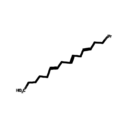 CC(C)CCC=CCC=CCC=CCCCCC(=O)O